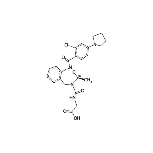 C[C@@H]1CN(C(=O)c2ccc(N3CCCC3)cc2Cl)c2ccccc2CN1C(=O)NCC(=O)O